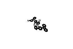 N#Cc1ccc2c(c1)c1ccccc1n2-c1ccc(-c2cc(-n3c4ccccc4c4ccc(-n5c6ccccc6c6ccccc65)cc43)ccc2C#N)c(C#N)c1